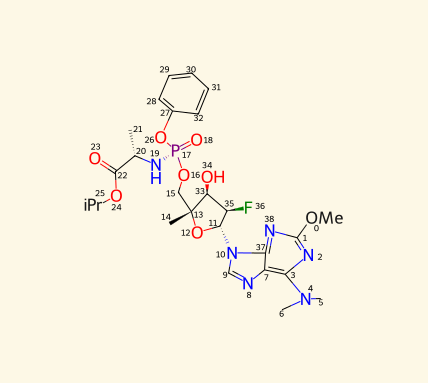 COc1nc(N(C)C)c2ncn([C@@H]3O[C@](C)(CO[P@@](=O)(N[C@@H](C)C(=O)OC(C)C)Oc4ccccc4)[C@@H](O)[C@H]3F)c2n1